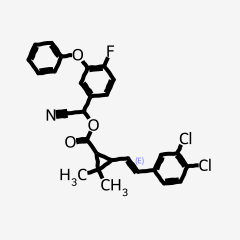 CC1(C)C(/C=C/c2ccc(Cl)c(Cl)c2)C1C(=O)OC(C#N)c1ccc(F)c(Oc2ccccc2)c1